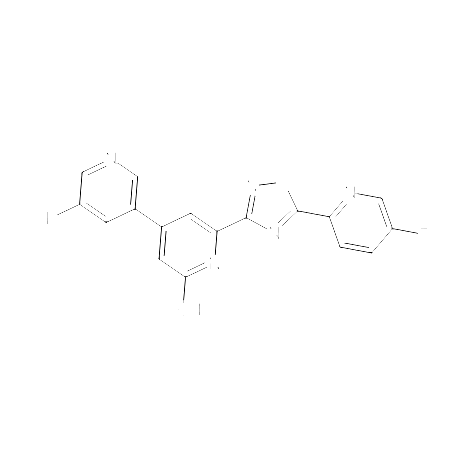 Cc1cc(-c2cncc(F)c2)cc(-c2noc(-c3ccc(F)cn3)n2)n1